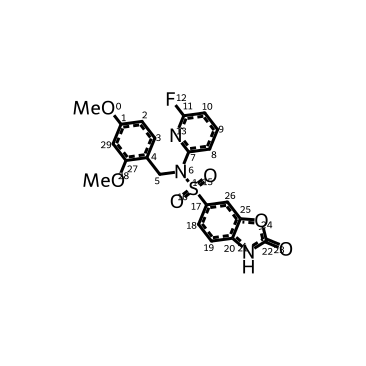 COc1ccc(CN(c2cccc(F)n2)S(=O)(=O)c2ccc3[nH]c(=O)oc3c2)c(OC)c1